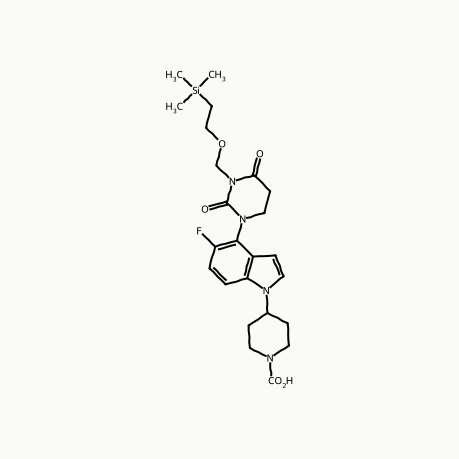 C[Si](C)(C)CCOCN1C(=O)CCN(c2c(F)ccc3c2ccn3C2CCN(C(=O)O)CC2)C1=O